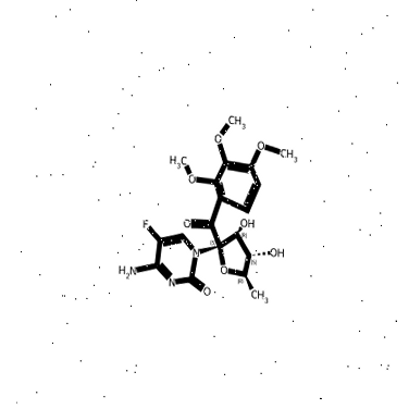 COc1ccc(C(=O)[C@@]2(n3cc(F)c(N)nc3=O)O[C@H](C)[C@@H](O)[C@H]2O)c(OC)c1OC